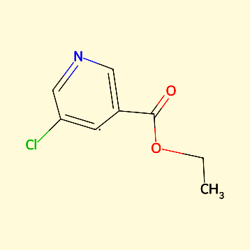 CCOC(=O)c1[c]c(Cl)cnc1